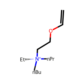 C=COCC[N@@+](CC)(CCC)CCCC